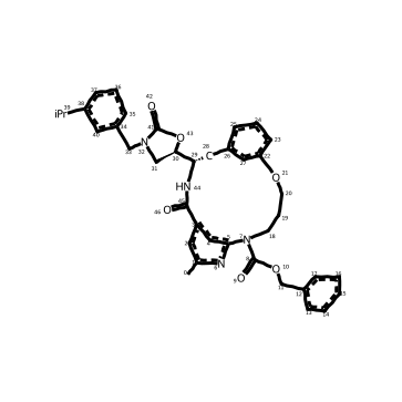 Cc1cc2cc(n1)N(C(=O)OCc1ccccc1)CCCOc1cccc(c1)C[C@@H]([C@H]1CN(Cc3cccc(C(C)C)c3)C(=O)O1)NC2=O